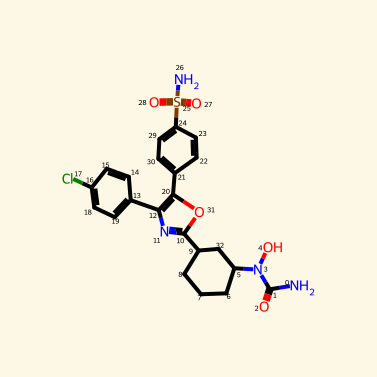 NC(=O)N(O)C1CCCC(c2nc(-c3ccc(Cl)cc3)c(-c3ccc(S(N)(=O)=O)cc3)o2)C1